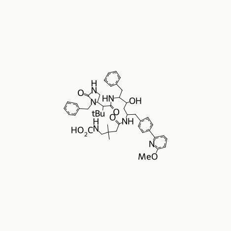 COc1cccc(-c2ccc(CC(CC(O)C(Cc3ccccc3)NC(=O)C(C3CNC(=O)N3Cc3ccccc3)C(C)(C)C)NC(=O)CC(C)(C)CNC(=O)O)cc2)n1